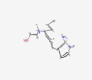 CC=CC(=C=Cc1ccn(C)c1N)N(C)CCO